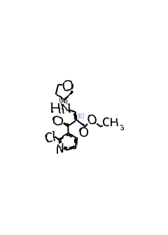 CCOC(=O)/C(=C/N[C@@H]1CCOC1)C(=O)c1cccnc1Cl